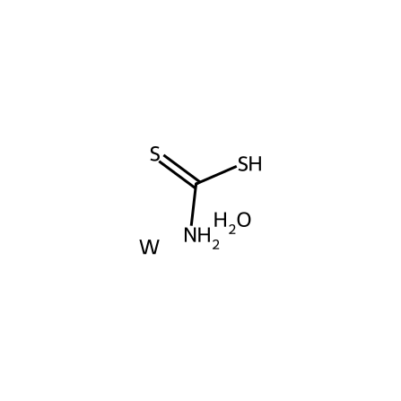 NC(=S)S.O.[W]